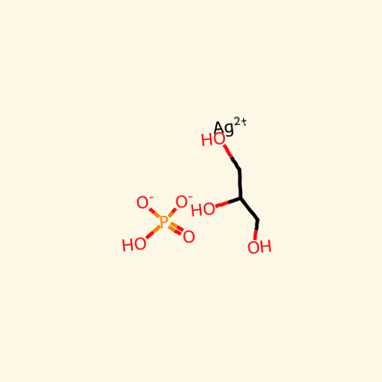 O=P([O-])([O-])O.OCC(O)CO.[Ag+2]